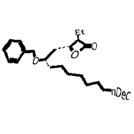 CCCCCCCCCCCCCCCCC[C@@H](C[C@H]1OC(=O)[C@@H]1CC)OCc1ccccc1